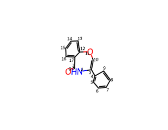 O=C1NC(c2ccccc2)=COc2ccccc21